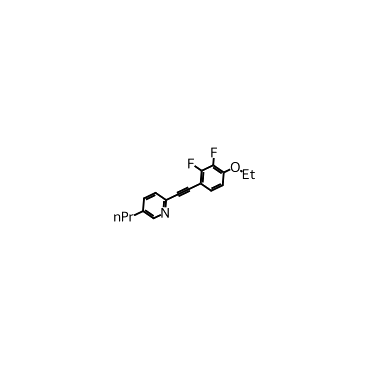 CCCc1ccc(C#Cc2ccc(OCC)c(F)c2F)nc1